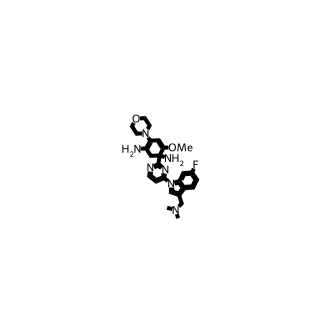 COC1=CC(N2CCOCC2)=C(N)CC1(N)c1nccc(-n2cc(CN(C)C)c3ccc(F)cc32)n1